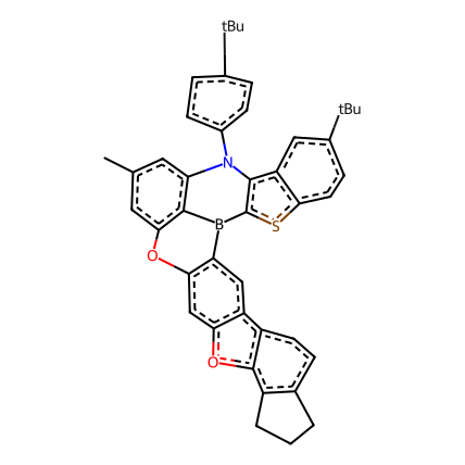 Cc1cc2c3c(c1)N(c1ccc(C(C)(C)C)cc1)c1c(sc4ccc(C(C)(C)C)cc14)B3c1cc3c(cc1O2)oc1c2c(ccc13)CCC2